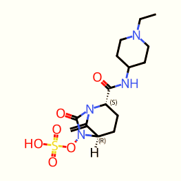 C=C1[C@H]2CC[C@@H](C(=O)NC3CCN(CC)CC3)N1C(=O)N2OS(=O)(=O)O